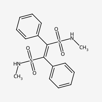 CNS(=O)(=O)C(=C(c1ccccc1)S(=O)(=O)NC)c1ccccc1